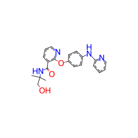 CC(C)(CO)NC(=O)c1cccnc1Oc1ccc(Nc2ccccn2)cc1